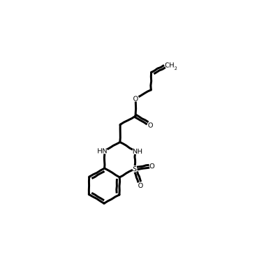 C=CCOC(=O)CC1Nc2ccccc2S(=O)(=O)N1